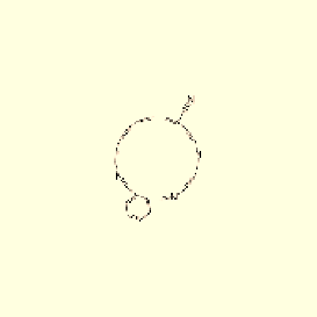 N#CC1=CC=CC=CC=CN=Cc2ccccc2C=NC=CC=NC=C1